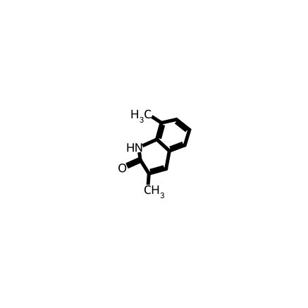 Cc1cc2cccc(C)c2[nH]c1=O